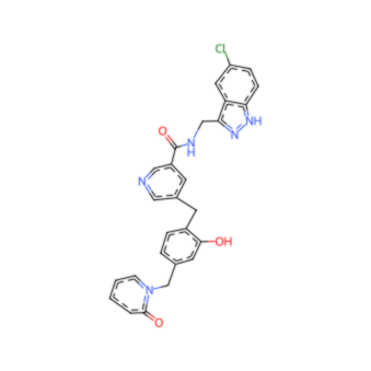 O=C(NCc1n[nH]c2ccc(Cl)cc12)c1cncc(Cc2ccc(Cn3ccccc3=O)cc2O)c1